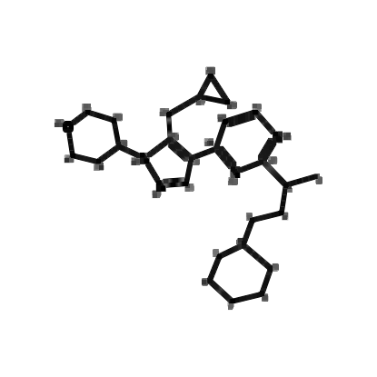 CC(CCC1CCCCC1)c1nccc(-c2cnn(C3CCOCC3)c2CC2CC2)n1